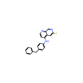 Fc1cc2c(Nc3ccc(Cc4ccccc4)cc3)ccnc2cn1